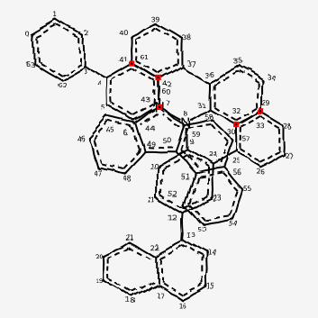 c1ccc(-c2ccc(N(c3ccc(-c4cccc5ccccc45)cc3-c3ccccc3)c3ccccc3-c3ccccc3-n3c4ccccc4c4c5ccccc5ccc43)cc2)cc1